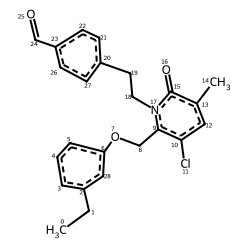 CCc1cccc(OCc2c(Cl)cc(C)c(=O)n2CCc2ccc(C=O)cc2)c1